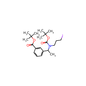 CC(c1cccc(C(=O)OC(C)(C)C)c1)N(CCCI)C(=O)OC(C)(C)C